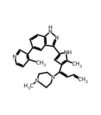 C=C/C=C(\c1cc(-c2n[nH]c3ccc(-c4cnccc4C)cc23)[nH]c1C)N1CCN(C)CC1